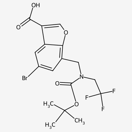 CC(C)(C)OC(=O)N(Cc1cc(Br)cc2c(C(=O)O)coc12)CC(F)(F)F